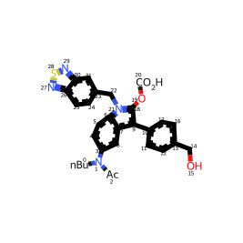 CCCCN(C(C)=O)c1ccc2c(c1)c(-c1ccc(CO)cc1)c(OC(=O)O)n2Cc1ccc2nsnc2c1